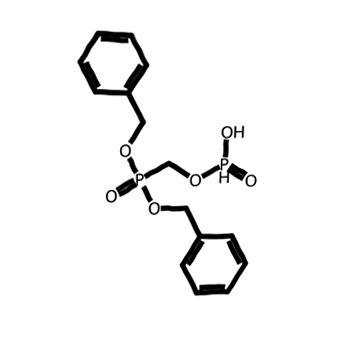 O=[PH](O)OCP(=O)(OCc1ccccc1)OCc1ccccc1